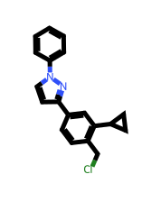 ClCc1ccc(-c2ccn(-c3ccccc3)n2)cc1C1CC1